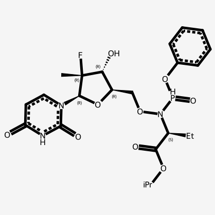 CC[C@@H](C(=O)OC(C)C)N(OC[C@H]1O[C@@H](n2ccc(=O)[nH]c2=O)[C@](C)(F)[C@@H]1O)[PH](=O)Oc1ccccc1